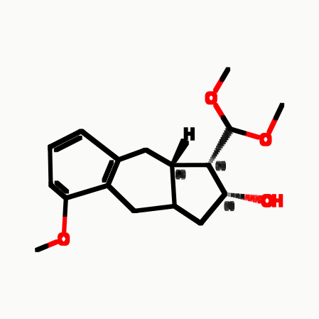 COc1cccc2c1CC1C[C@@H](O)[C@@H](C(OC)OC)[C@H]1C2